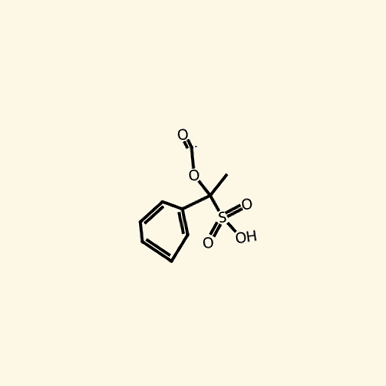 CC(O[C]=O)(c1ccccc1)S(=O)(=O)O